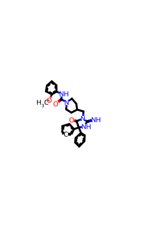 COc1ccccc1NC(=O)N1CCC(CN2C(=N)NC(c3ccccc3)(c3ccccc3)C2=O)CC1